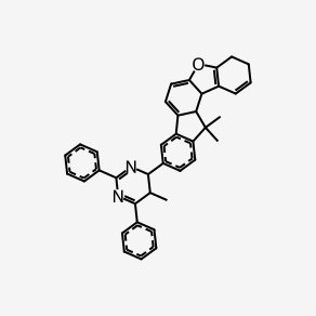 CC1C(c2ccccc2)=NC(c2ccccc2)=NC1c1ccc2c(c1)C1=CC=C3OC4=C(C=CCC4)C3C1C2(C)C